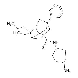 CCCC1(CC)C2CC3(C(=S)N[C@H]4CC[C@H](N)CC4)CC1CC(c1ccccc1)(C2)C3